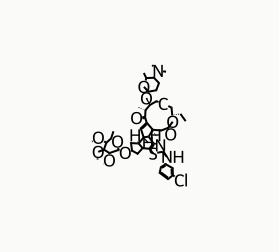 CC[C@H]1CCC[C@H](O[C@H]2CC[C@H](N(C)C)C(C)O2)[C@@H](C)C(=O)C2=C[C@@H]3C(c4nc(Nc5cccc(Cl)c5)sc4C4C[C@@H](OC5OC(C)C(OC)C(OC)C5OC)C[C@H]43)[C@@H]2CC(=O)O1